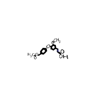 COc1cc(/C=C/C(=O)O)ccc1Oc1ccc(COC(C)=O)cc1